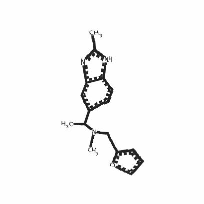 Cc1nc2cc(C(C)N(C)Cc3ccco3)ccc2[nH]1